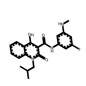 CNc1cc(F)cc(NC(=O)c2c(O)c3ccccc3n(CC(C)C)c2=O)c1